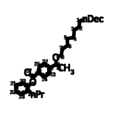 CCCCCCCCCCCCCCCCCCOC(C)c1ccc(C(=O)Oc2ccccc2CCC)cc1